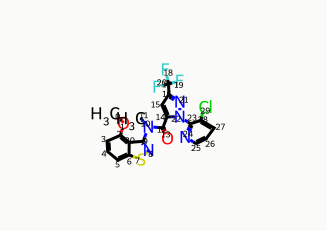 COc1cccc2snc(N(C)C(=O)c3cc(C(F)(F)F)nn3-c3ncccc3Cl)c12